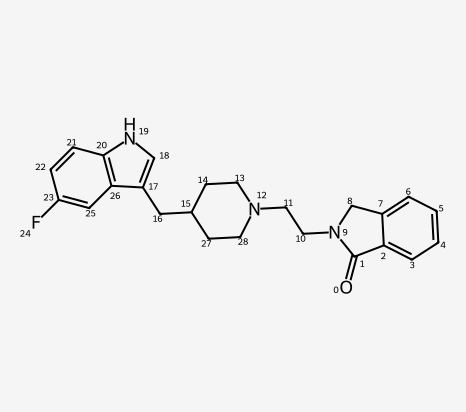 O=C1c2ccccc2CN1CCN1CCC(Cc2c[nH]c3ccc(F)cc23)CC1